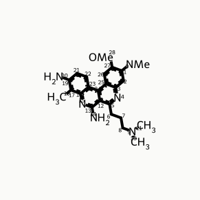 CNc1cc2nc(CCCN(C)C)c3c(N)nc4c(C)c(N)ccc4c3c2cc1OC